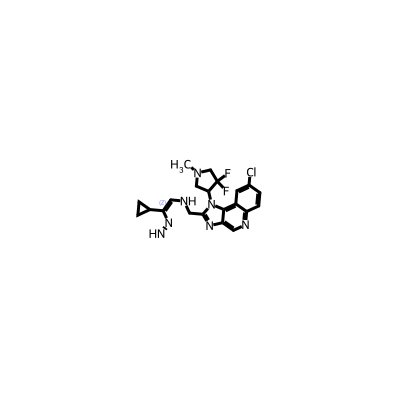 CN1CC(n2c(CN/C=C(\N=N)C3CC3)nc3cnc4ccc(Cl)cc4c32)C(F)(F)C1